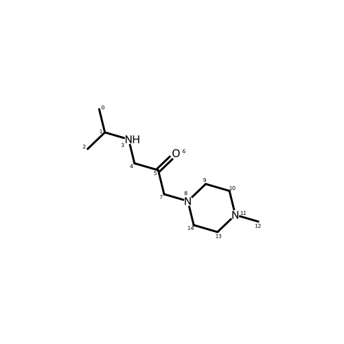 CC(C)NCC(=O)CN1CCN(C)CC1